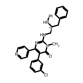 CC(C)N[C@H](CNc1nc(-c2ccncc2)c(-c2cccc(Cl)c2)c(=O)n1C)Cc1ccccc1